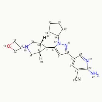 N#Cc1cc(-c2cc([C@H]3[C@@H]4CN(C5COC5)C[C@@H]43)n(C3CCCC3)n2)cnc1N